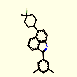 Cc1cc(C)cc(C2=Nc3ccc(C4CCC(C)(F)CC4)c4cccc2c34)c1